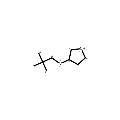 CC(C)(C)CNC1CCNC1